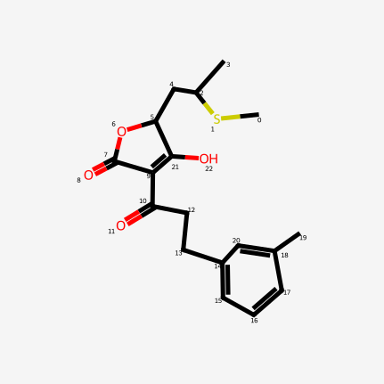 CSC(C)CC1OC(=O)C(C(=O)CCc2cccc(C)c2)=C1O